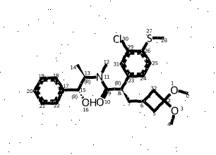 COC1(OC)CC(C[C@@H](C(=O)N(C)[C@H](C)[C@H](O)c2ccccc2)c2ccc(SC)c(Cl)c2)C1